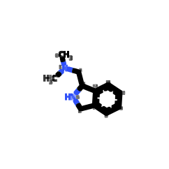 CN(C)CC1NCc2ccccc21